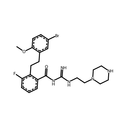 COc1ccc(Br)cc1CCc1c(F)cccc1C(=O)NC(=N)NCCN1CCNCC1